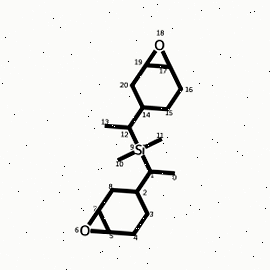 CC(C1CCC2OC2C1)[Si](C)(C)C(C)C1CCC2OC2C1